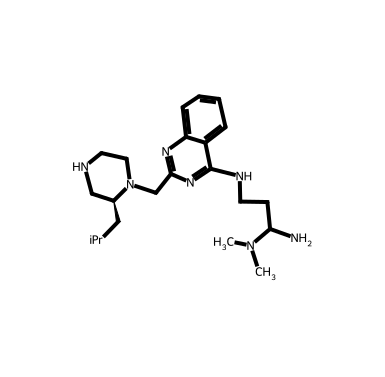 CC(C)C[C@H]1CNCCN1Cc1nc(NCCC(N)N(C)C)c2ccccc2n1